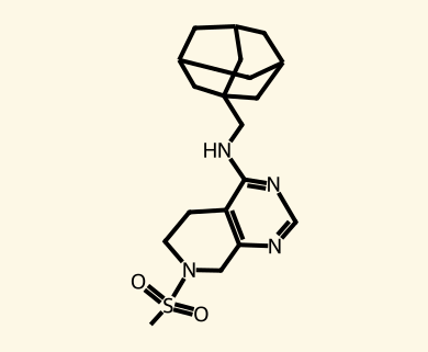 CS(=O)(=O)N1CCc2c(ncnc2NCC23CC4CC(CC(C4)C2)C3)C1